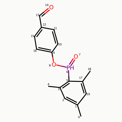 Cc1cc(C)c([PH](=O)Oc2ccc(C=O)cc2)c(C)c1